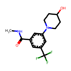 CNC(=O)c1cc(N2CCC(O)CC2)cc(C(F)(F)F)c1